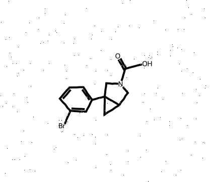 O=C(O)N1CC2CC2(c2cccc(Br)c2)C1